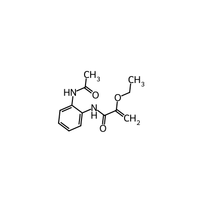 C=C(OCC)C(=O)Nc1ccccc1NC(C)=O